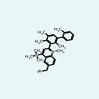 Cc1ccccc1-c1cc(C)c(C)c(-c2cc([Si](C)(C)C)c3cc(CC(C)C)ccc3[n+]2C)c1C